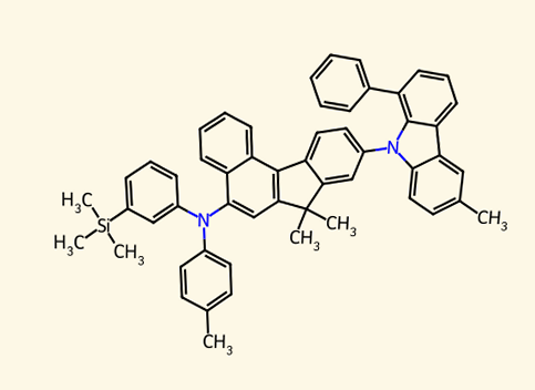 Cc1ccc(N(c2cccc([Si](C)(C)C)c2)c2cc3c(c4ccccc24)-c2ccc(-n4c5ccc(C)cc5c5cccc(-c6ccccc6)c54)cc2C3(C)C)cc1